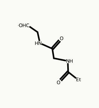 CCC(=O)NCC(=O)NC[C]=O